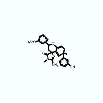 COc1cccc(C2CC3(N=C(N)N(C)C3=O)C3=CC(C)(c4cccc(C#N)c4)CC=C3O2)c1